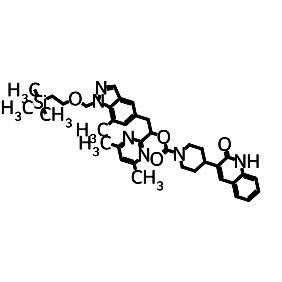 Cc1cc(C)nc(C(Cc2cc(C)c3c(cnn3COCC[Si](C)(C)C)c2)OC(=O)N2CCC(c3cc4ccccc4[nH]c3=O)CC2)n1